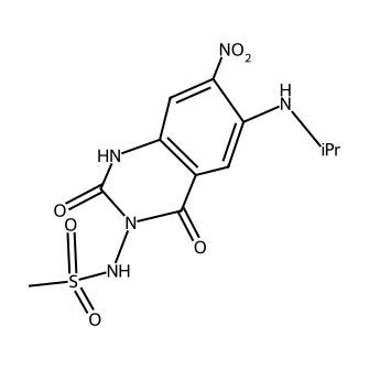 CC(C)Nc1cc2c(=O)n(NS(C)(=O)=O)c(=O)[nH]c2cc1[N+](=O)[O-]